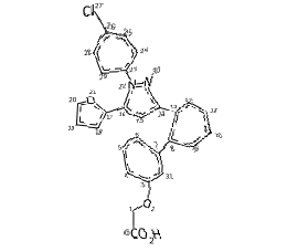 O=C(O)COc1cccc(-c2ccccc2-c2cc(-c3ccco3)n(-c3ccc(Cl)cc3)n2)c1